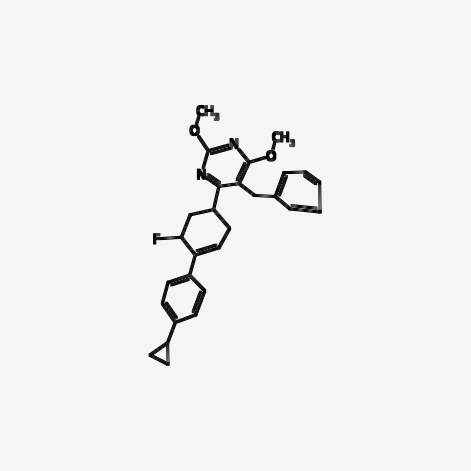 COc1nc(OC)c(Cc2ccccc2)c(C2CC=C(c3ccc(C4CC4)cc3)C(F)C2)n1